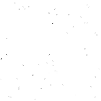 CC(NS(=O)(=O)c1ccc(OCc2ccccc2)cc1)C(C(=O)O)N1CCCC1